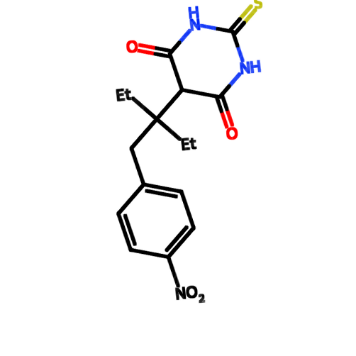 CCC(CC)(Cc1ccc([N+](=O)[O-])cc1)C1C(=O)NC(=S)NC1=O